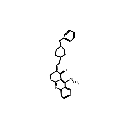 CNc1c2c(nc3ccccc13)CCC(=CCC1CCN(Cc3ccccc3)CC1)C2=O